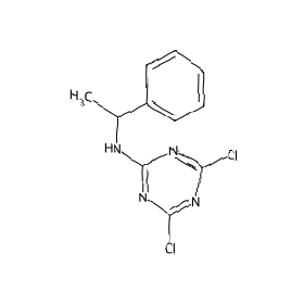 CC(Nc1nc(Cl)nc(Cl)n1)c1ccccc1